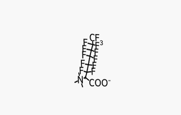 C[N+](C)(C)C(C(=O)[O-])C(F)(F)C(F)(F)C(F)(F)C(F)(F)C(F)(F)C(F)(F)F